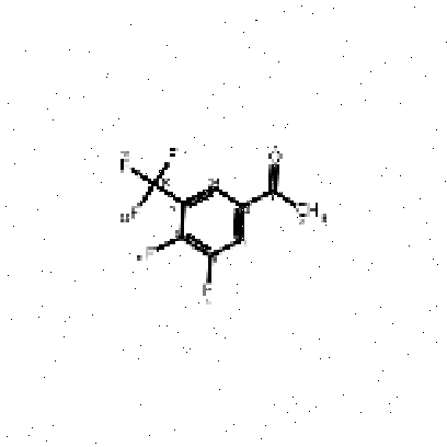 CC(=O)c1cc(F)c(F)c(C(F)(F)F)c1